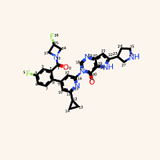 O=C(c1cc(F)ccc1-c1cc(C2CC2)nc(-n2cnc3cc(C4CCNC4)[nH]c3c2=O)c1)N1CC(F)C1